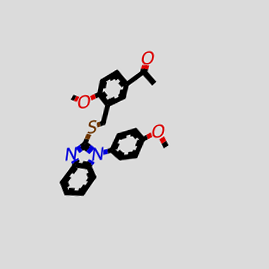 COc1ccc(-n2c(SCc3cc(C(C)=O)ccc3OC)nc3ccccc32)cc1